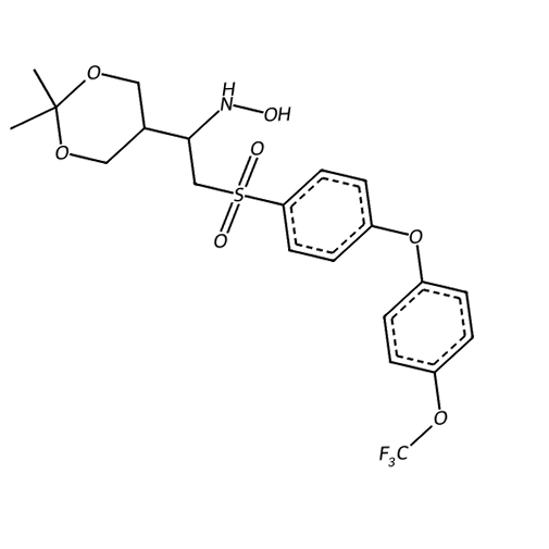 CC1(C)OCC(C(CS(=O)(=O)c2ccc(Oc3ccc(OC(F)(F)F)cc3)cc2)NO)CO1